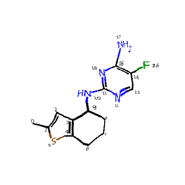 Cc1cc2c(s1)CCCC2Nc1ncc(F)c(N)n1